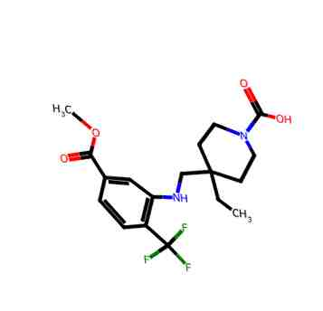 CCC1(CNc2cc(C(=O)OC)ccc2C(F)(F)F)CCN(C(=O)O)CC1